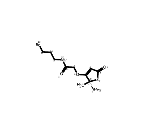 CCCCCC[C@@]1(C)SC(=O)C=C1OCC(=O)NCCCBr